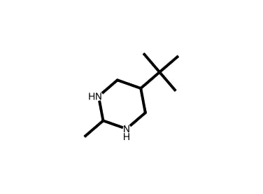 CC1NCC(C(C)(C)C)CN1